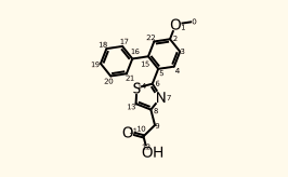 COc1ccc(-c2nc(CC(=O)O)cs2)c(-c2ccccc2)c1